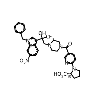 O=C(O)[C@@H]1CCCN1c1ccc(C(=O)N2CCN(CC(O)(c3cn(Cc4ccccc4)c4cc([N+](=O)[O-])ccc34)C(F)(F)F)CC2)cn1